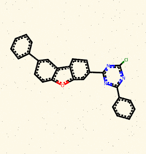 Clc1nc(-c2ccccc2)nc(-c2ccc3c(c2)oc2ccc(-c4ccccc4)cc23)n1